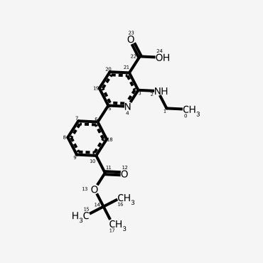 CCNc1nc(-c2cccc(C(=O)OC(C)(C)C)c2)ccc1C(=O)O